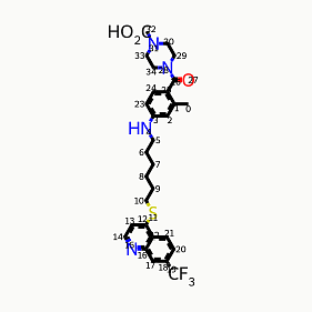 Cc1cc(NCCCCCCSc2ccnc3cc(C(F)(F)F)ccc23)ccc1C(=O)N1CCN(C(=O)O)CC1